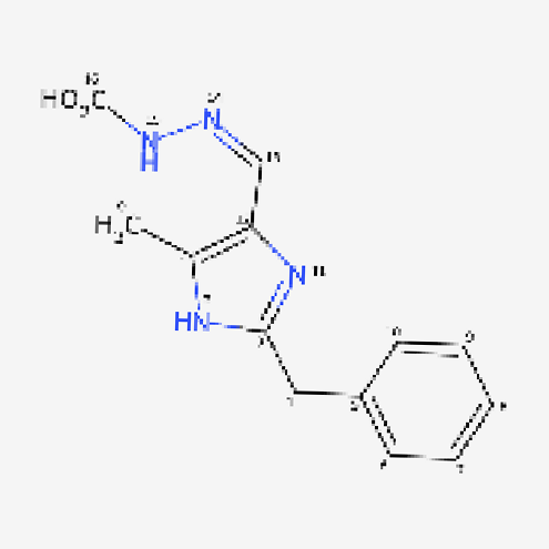 Cc1[nH]c(Cc2ccccc2)nc1/C=N\NC(=O)O